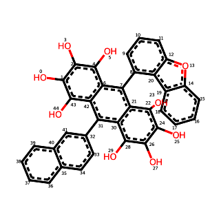 Oc1c(O)c(O)c2c(-c3cccc4oc5ccccc5c34)c3c(O)c(O)c(O)c(O)c3c(-c3ccc4ccccc4c3)c2c1O